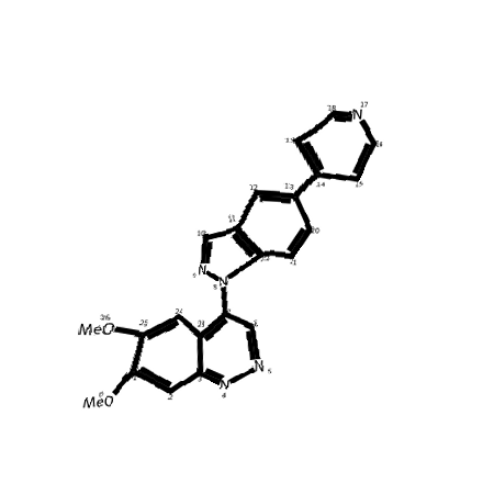 COc1cc2nncc(-n3ncc4cc(-c5ccncc5)ccc43)c2cc1OC